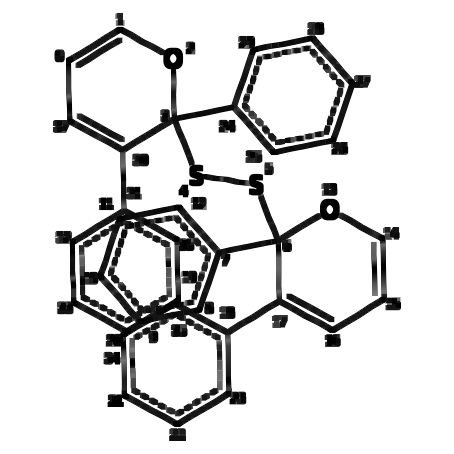 C1=COC(SSC2(c3ccccc3)OC=CC=C2c2ccccc2)(c2ccccc2)C(c2ccccc2)=C1